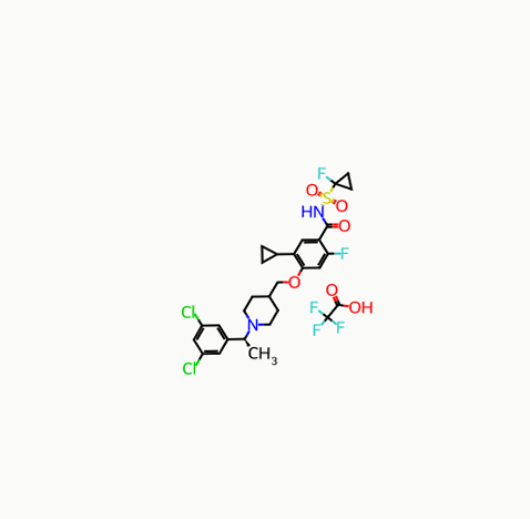 C[C@@H](c1cc(Cl)cc(Cl)c1)N1CCC(COc2cc(F)c(C(=O)NS(=O)(=O)C3(F)CC3)cc2C2CC2)CC1.O=C(O)C(F)(F)F